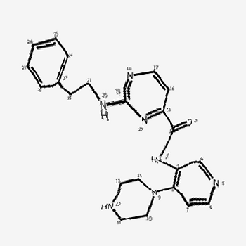 O=C(Nc1cnccc1N1CCNCC1)c1ccnc(NCCc2ccccc2)n1